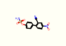 N#Cc1cc([N+](=O)[O-])ccc1-c1ccc(OS(N)(=O)=O)cc1